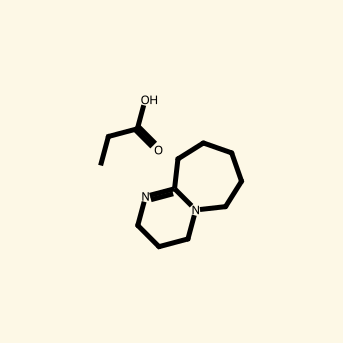 C1CCC2=NCCCN2CC1.CCC(=O)O